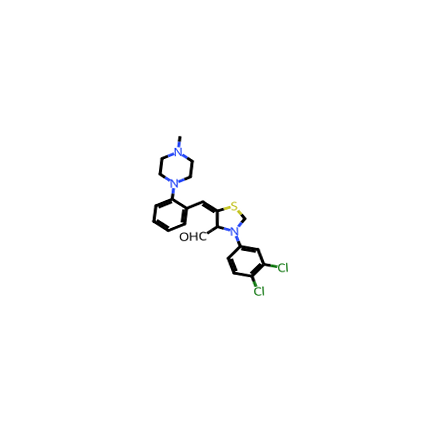 CN1CCN(c2ccccc2C=C2SCN(c3ccc(Cl)c(Cl)c3)C2C=O)CC1